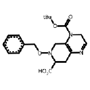 CC(C)(C)OC(=O)N1CC=NC2=C1CN(OCc1ccccc1)C(C(=O)O)C2